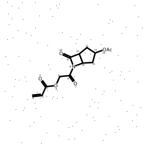 C=CC(=O)OCC(=O)N1C(=O)C2CC(OC(C)=O)CC21